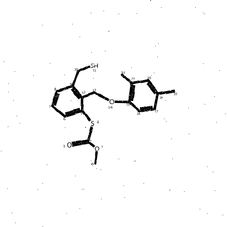 COC(=O)Sc1cccc(CS)c1COc1ccc(C)cc1C